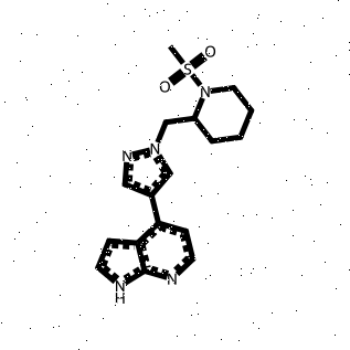 CS(=O)(=O)N1CCCCC1Cn1cc(-c2ccnc3[nH]ccc23)cn1